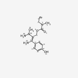 CC(C)CN(C)C(=O)OC/C(=C(/N)c1ccc(O)cn1)N(C)N